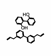 C=CCc1cccc(-c2cccc(CC=C)c2)c1.Oc1ccccc1-c1ccccc1O